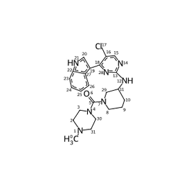 CN1CCN(C(=O)N2CCCC(Nc3ncc(Cl)c(-c4c[nH]c5ccccc45)n3)C2)CC1